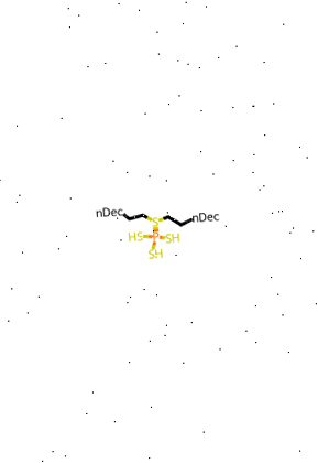 CCCCCCCCCCCCS(CCCCCCCCCCCC)=P(S)(S)S